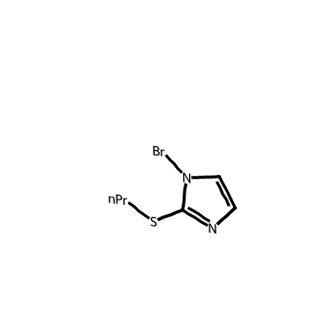 CCCSc1nccn1Br